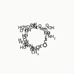 CC(=O)N[C@H]1CSCc2ccccc2CSC[C@@H](C(N)=O)NC(=O)[C@H](CCC(=O)O)NC(=O)CNC(=O)[C@H]([C@@H](C)O)NC(=O)[C@H](CCC(=O)O)NC(=O)[C@H](C)N(C)C(=O)[C@H](CC(=O)O)NC1=O